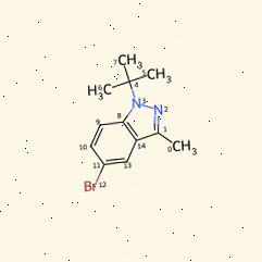 Cc1nn(C(C)(C)C)c2ccc(Br)cc12